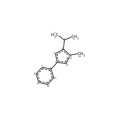 CC(C)c1cc(-c2ccccc2)cn1C